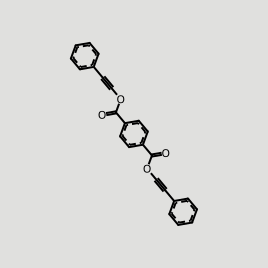 O=C(OC#Cc1ccccc1)c1ccc(C(=O)OC#Cc2ccccc2)cc1